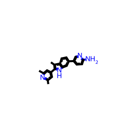 Cc1cc(-c2[nH]c3cc(-c4ccc(N)nc4)ccc3c2C)cc(C)n1